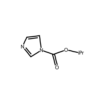 CC(C)OC(=O)n1ccnc1